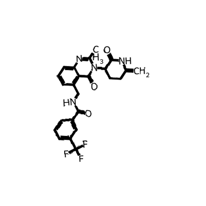 C=C1CCC(n2c(C)nc3cccc(CNC(=O)c4cccc(C(F)(F)F)c4)c3c2=O)C(=O)N1